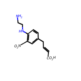 NCCNc1ccc(CC=CC(=O)O)cc1[N+](=O)[O-]